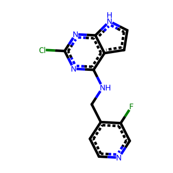 Fc1cnccc1CNc1nc(Cl)nc2[nH]ccc12